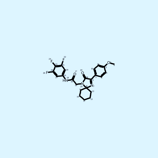 COc1ccc(C2=NC3(CCCCC3)N(CC(=O)Nc3cc(F)c(F)c(F)c3)C2=O)cc1